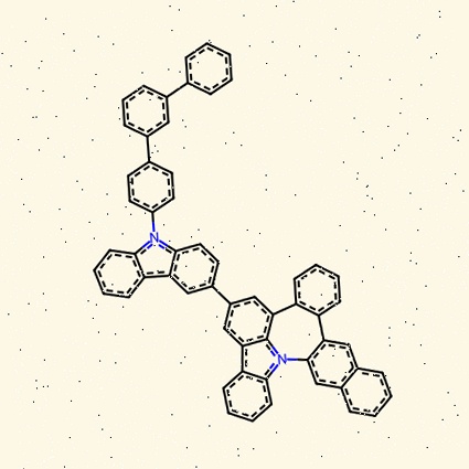 c1ccc(-c2cccc(-c3ccc(-n4c5ccccc5c5cc(-c6cc7c8c(c6)c6ccccc6n8-c6cc8ccccc8cc6-c6ccccc6-7)ccc54)cc3)c2)cc1